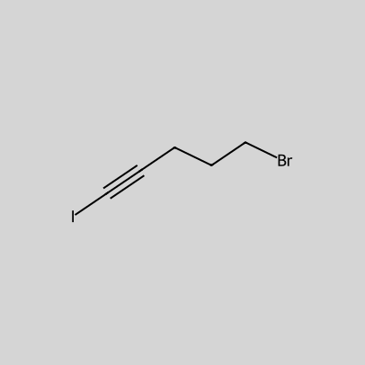 BrCCCC#CI